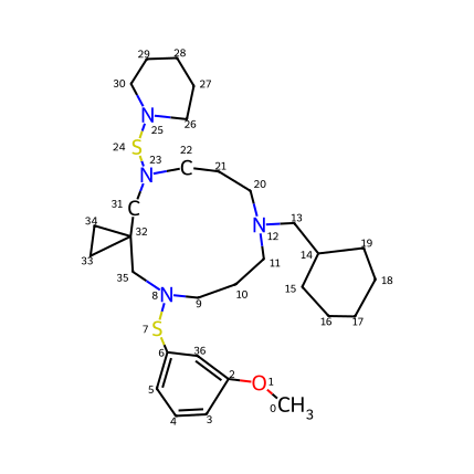 COc1cccc(SN2CCCN(CC3CCCCC3)CCCN(SN3CCCCC3)CC3(CC3)C2)c1